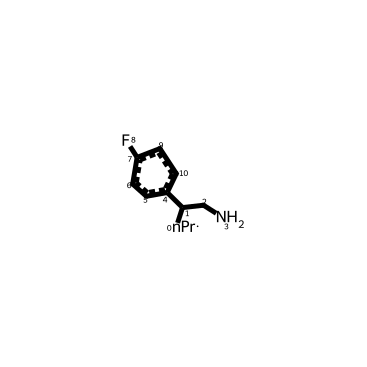 CC[CH]C(CN)c1ccc(F)cc1